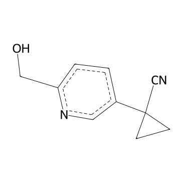 N#CC1(c2ccc(CO)nc2)CC1